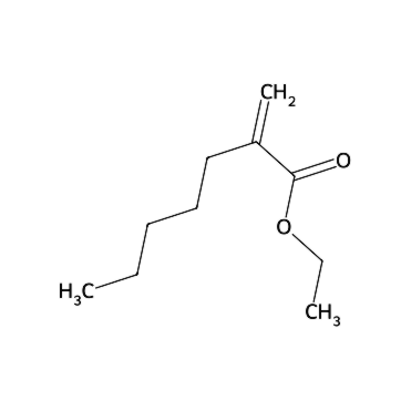 C=C(CCCCC)C(=O)OCC